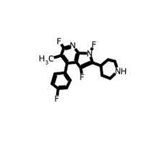 Cc1c(F)nc2c(c(F)c(C3CCNCC3)n2F)c1-c1ccc(F)cc1